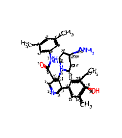 Cc1cc(C)cc(NC(=O)c2cncc(-c3cc(C)c(O)c(C)c3)c2N2CCC(N)CC2)c1